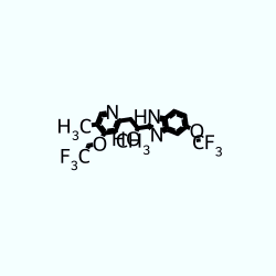 Cc1cnc(CC(O)c2nc3cc(OC(F)(F)F)ccc3[nH]2)c(C)c1OCC(F)(F)F